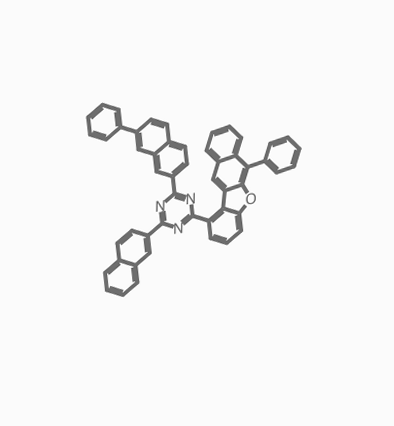 c1ccc(-c2ccc3ccc(-c4nc(-c5ccc6ccccc6c5)nc(-c5cccc6oc7c(-c8ccccc8)c8ccccc8cc7c56)n4)cc3c2)cc1